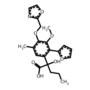 CCCC(O)(C(=O)O)c1cc(C)c(OCc2ncco2)c(OC)c1-c1ccco1